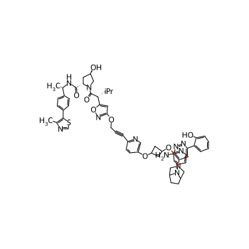 Cc1ncsc1-c1ccc([C@H](C)NC(=O)[C@@H]2C[C@@H](O)CN2C(=O)[C@@H](c2cc(OCC#Cc3ccc(OC4CC(Oc5cc(N6C7CCC6CN(c6cc(-c8ccccc8O)nnc6N)C7)ccn5)C4)cn3)no2)C(C)C)cc1